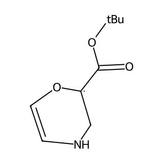 CC(C)(C)OC(=O)[C]1CNC=CO1